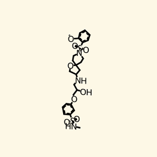 CNS(=O)(=O)c1cccc(OCC(O)CNC2COC3(CCN(S(=O)(=O)c4ccccc4OC)CC3)C2)c1